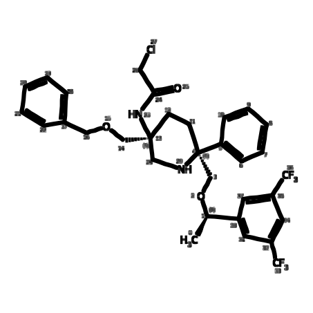 C[C@@H](OC[C@@]1(c2ccccc2)CC[C@](COCc2ccccc2)(NC(=O)CCl)CN1)c1cc(C(F)(F)F)cc(C(F)(F)F)c1